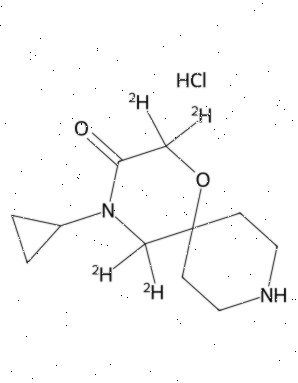 Cl.[2H]C1([2H])OC2(CCNCC2)C([2H])([2H])N(C2CC2)C1=O